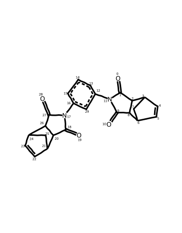 O=C1C2C3C=CC(C3)C2C(=O)N1c1cccc(N2C(=O)C3C4C=CC(C4)C3C2=O)c1